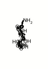 NCC#Cc1ccc(C(=O)Nc2ncnc3c2ccn3[C@H]2C[C@@H](O)[C@@H](COP(=O)(O)OP(=O)(O)OP(=O)(O)O)O2)c([N+](=O)[O-])c1